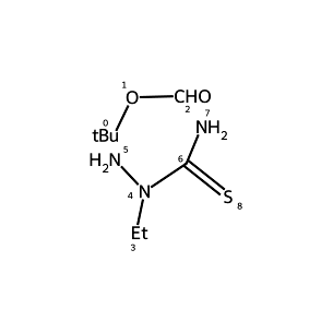 CC(C)(C)OC=O.CCN(N)C(N)=S